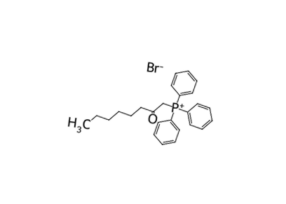 CCCCCCC(=O)C[P+](c1ccccc1)(c1ccccc1)c1ccccc1.[Br-]